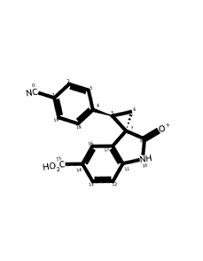 N#Cc1ccc([C@H]2C[C@@]23C(=O)Nc2ccc(C(=O)O)cc23)cc1